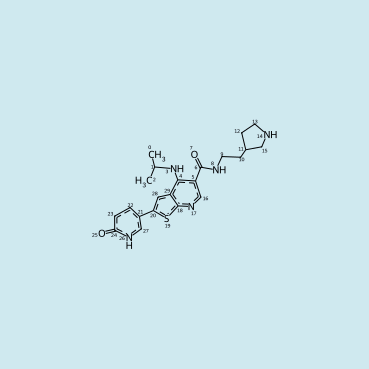 CC(C)Nc1c(C(=O)NCCC2CCNC2)cnc2sc(-c3ccc(=O)[nH]c3)cc12